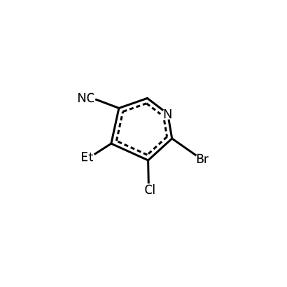 CCc1c(C#N)cnc(Br)c1Cl